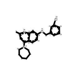 Cc1cc(N2CCCCCC2)c2ccc(OCc3cccc(Cl)c3)cc2n1